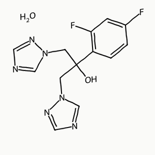 O.OC(Cn1cncn1)(Cn1cncn1)c1ccc(F)cc1F